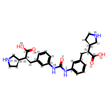 O=C(Nc1cccc(C[C@H](C(=O)O)[C@H]2CCNC2)c1)Nc1cccc(C[C@H](C(=O)O)[C@H]2CCNC2)c1